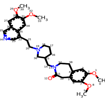 COc1cc2c(cc1OC)CC(=O)N(CC1CCCN(CCc3cncc4cc(OC)c(OC)cc34)C1)CC2